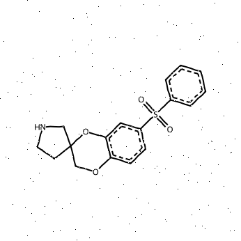 O=S(=O)(c1ccccc1)c1ccc2c(c1)OC1(CCNC1)CO2